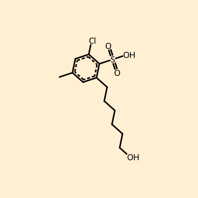 Cc1cc(Cl)c(S(=O)(=O)O)c(CCCCCCO)c1